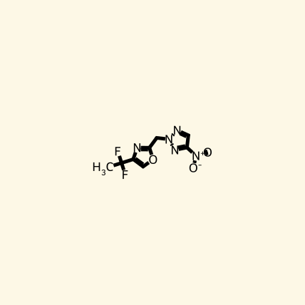 CC(F)(F)c1coc(Cn2ncc([N+](=O)[O-])n2)n1